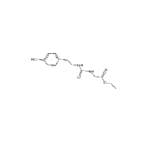 CCOC(=O)CNC(=O)NCCc1ccc(O)cc1